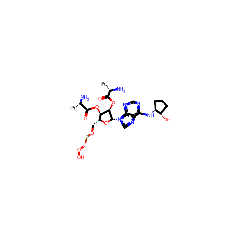 CC(C)[C@H](N)C(=O)O[C@@H]1[C@H](OC(=O)[C@@H](N)C(C)C)[C@@H](COSOOO)O[C@H]1n1cnc2c(N[C@@H]3CCC[C@@H]3O)ncnc21